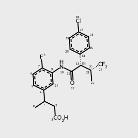 CC(CC(=O)O)c1ccc(F)c(NC(=O)[C@H](c2ccc(Cl)cc2)[C@@H](C)C(F)(F)F)c1